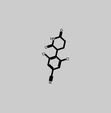 N#Cc1cc(Cl)c(C2CCC(=O)NC2=O)c(Cl)c1